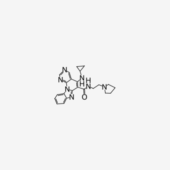 O=C(NCCN1CCCC1)c1c(NC2CC2)c2cncnc2n2c1nc1ccccc12